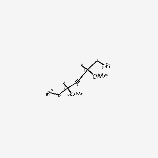 COC(C)(C#CC(C)(CC(C)C)OC)CC(C)C